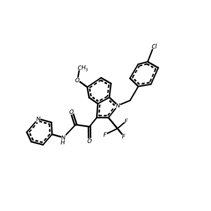 COc1ccc2c(c1)c(C(=O)C(=O)Nc1cccnc1)c(C(F)(F)F)n2Cc1ccc(Cl)cc1